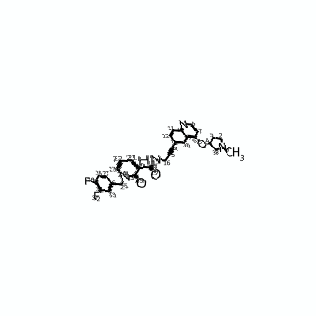 CN1CCC(Oc2ccnc3ccc(C#CCNC(=O)c4cccn(Cc5ccc(F)c(F)c5)c4=O)cc23)C1